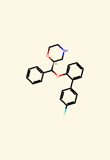 Fc1ccc(-c2ccccc2OC(c2ccccc2)[C@@H]2CNCCO2)cc1